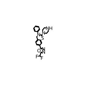 FC(F)c1nnc(-c2ccc(CN(C(=S)N3CCNCC3)c3ccccc3)cc2)o1